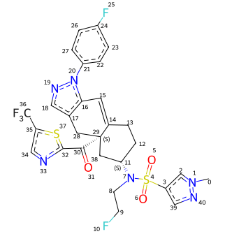 Cn1cc(S(=O)(=O)N(CCF)[C@H]2CCC3=Cc4c(cnn4-c4ccc(F)cc4)C[C@]3(C(=O)c3ncc(C(F)(F)F)s3)C2)cn1